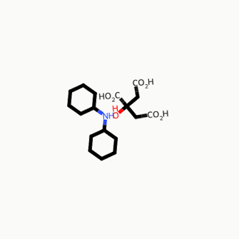 C1CCC(NC2CCCCC2)CC1.O=C(O)CC(O)(CC(=O)O)C(=O)O